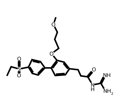 CCS(=O)(=O)c1ccc(-c2ccc(CCC(=O)NC(=N)N)cc2OCCCOC)cc1